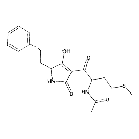 CSCCC(NC(C)=O)C(=O)C1=C(O)C(CCc2ccccc2)NC1=O